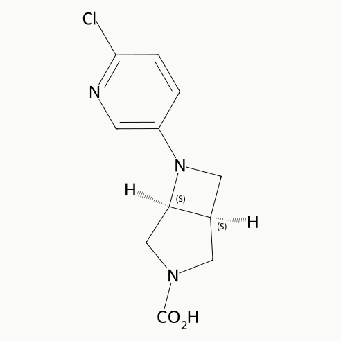 O=C(O)N1C[C@@H]2CN(c3ccc(Cl)nc3)[C@@H]2C1